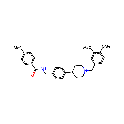 COc1ccc(CN2CCC(c3ccc(CNC(=O)c4ccc(SC)cc4)cc3)CC2)cc1OC